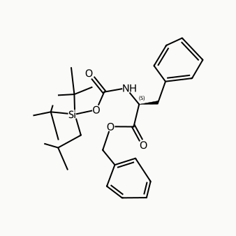 CC(C)C[Si](OC(=O)N[C@@H](Cc1ccccc1)C(=O)OCc1ccccc1)(C(C)(C)C)C(C)(C)C